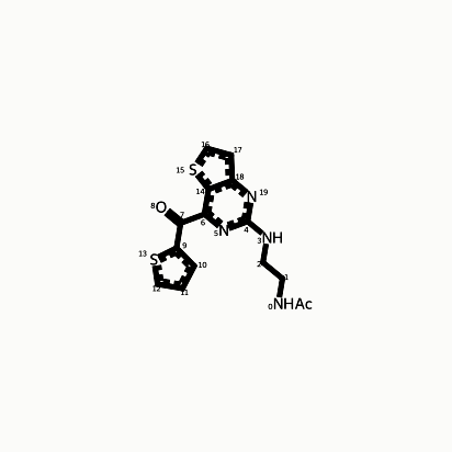 CC(=O)NCCNc1nc(C(=O)c2cccs2)c2sccc2n1